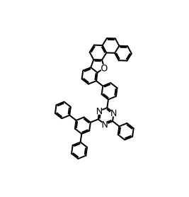 c1ccc(-c2cc(-c3ccccc3)cc(-c3nc(-c4ccccc4)nc(-c4cccc(-c5cccc6c5oc5c6ccc6ccc7ccccc7c65)c4)n3)c2)cc1